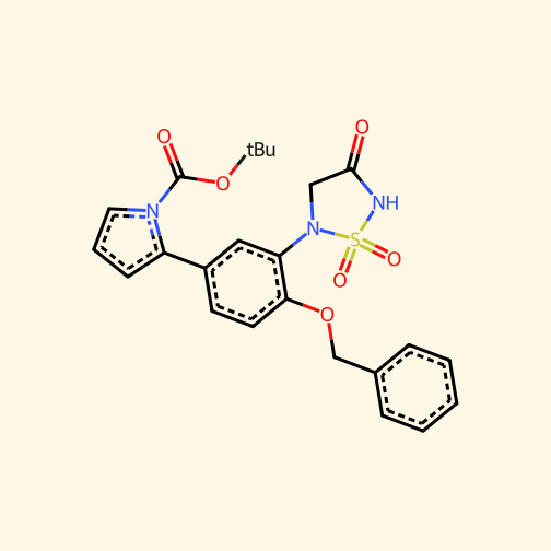 CC(C)(C)OC(=O)n1cccc1-c1ccc(OCc2ccccc2)c(N2CC(=O)NS2(=O)=O)c1